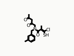 CC(=O)CC(=O)CN(Cc1cccc(C)c1)C(=O)/C(C)=C(\S)Cl